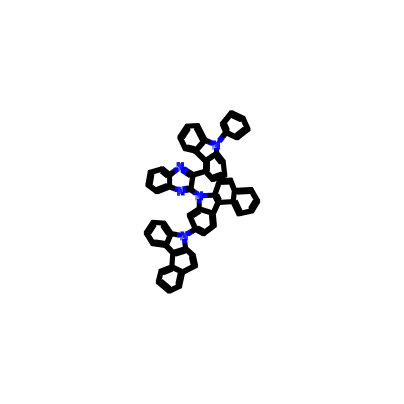 c1ccc(-n2c3ccccc3c3c(-c4nc5ccccc5nc4-n4c5cc(-n6c7ccccc7c7c8ccccc8ccc76)ccc5c5c6ccccc6ccc54)cccc32)cc1